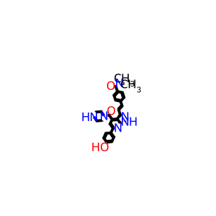 CN(C)C(=O)c1ccc(C=Cc2n[nH]c3nc(-c4ccc(O)cc4)cc(C(=O)N4CCNCC4)c23)cc1